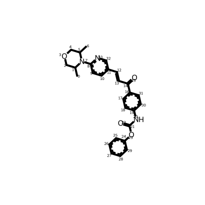 CC1COCC(C)N1c1ccc(C=CC(=O)c2ccc(NC(=O)Oc3ccccc3)cc2)cn1